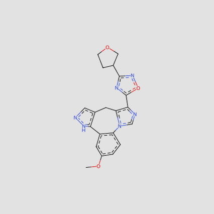 COc1ccc2c(c1)-c1[nH]ncc1Cc1c(-c3nc(C4CCOC4)no3)ncn1-2